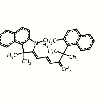 C=C(/C=C/C=C1\N(C)c2ccc3ccccc3c2C1(C)C)C(C)(C)c1c(C)ccc2ccccc12